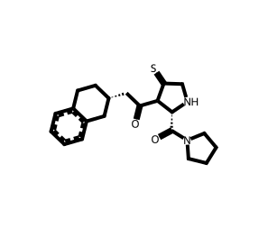 O=C(C[C@H]1CCc2ccccc2C1)C1C(=S)CN[C@@H]1C(=O)N1CCCC1